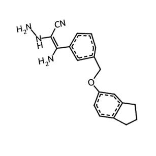 N#C/C(NN)=C(/N)c1cccc(COc2ccc3c(c2)CCC3)c1